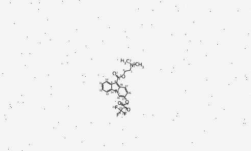 CN(C)CCOC(=O)c1c2ccccc2n2cc(OS(=O)(=O)C(F)(F)F)ccc12